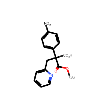 CC(C)(C)OC(=O)C(Cc1ccccn1)(C(=O)O)c1ccc([N+](=O)[O-])cc1